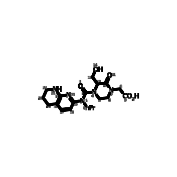 CCCN(C(=O)N1CCN(CC(=O)O)C(=O)C1CO)c1ccc2c(n1)NCCC2